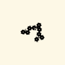 c1ccc(-n2c3ccccc3c3cc(-c4ccc5c6ccccc6n(-c6ccc(-c7cccc(-c8cccc9c8sc8ccccc89)c7)cn6)c5c4)ccc32)cc1